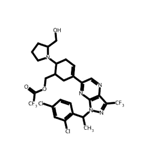 CC(c1ccc(Cl)cc1Cl)n1nc(C(F)(F)F)c2ncc(C3=CCC(N4CCCC4CO)C(COC(=O)C(F)(F)F)C3)nc21